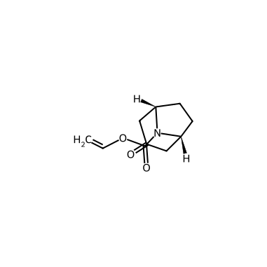 C=COC(=O)N1[C@@H]2CC[C@H]1CC(=O)C2